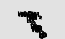 Nc1ncc(-c2cccc(CNC(=O)Nc3ccc4c(c3)OCCO4)c2)nc1C(=O)N[C@H]1CCCNC1